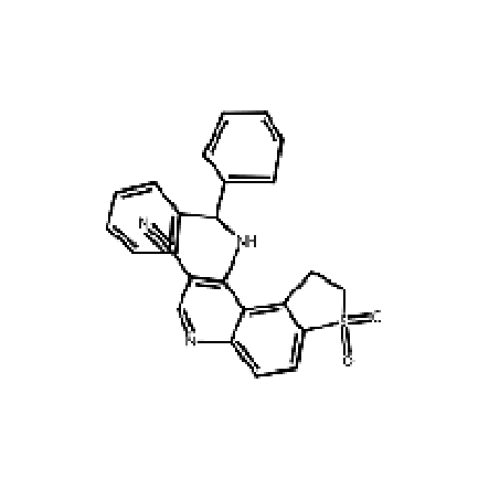 N#Cc1cnc2ccc3c(c2c1NC(c1ccccc1)c1ccccc1)CCS3(=O)=O